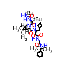 CC(C)(C)NC(=O)N[C@H](C(=O)N1C[C@H]2[C@@H]([C@H]1C(=O)NC(CC1CCC1)C(=O)C(=O)NCC(=O)NC(C)(C)c1ccccc1)C2(C)C)C(C)(C)C